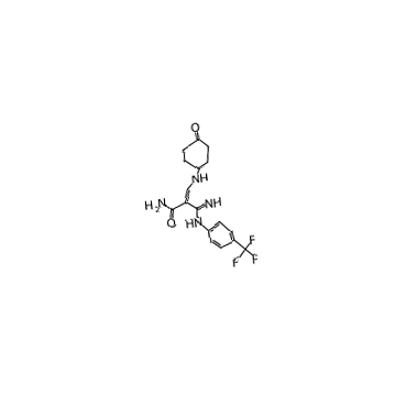 N=C(Nc1ccc(C(F)(F)F)cc1)/C(=C\NC1CCC(=O)CC1)C(N)=O